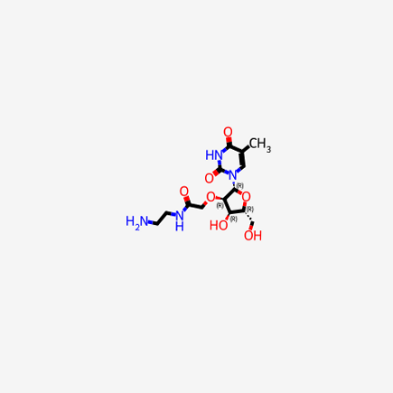 Cc1cn([C@@H]2O[C@H](CO)[C@@H](O)[C@H]2OCC(=O)NCCN)c(=O)[nH]c1=O